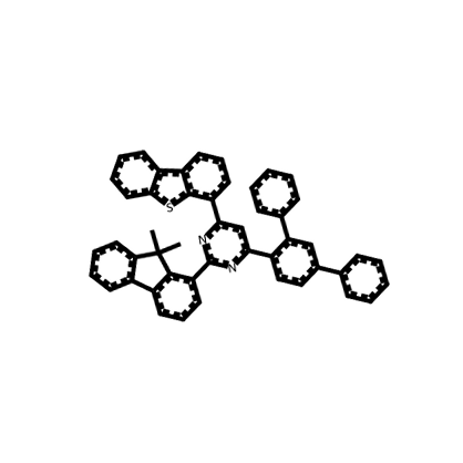 CC1(C)c2ccccc2-c2cccc(-c3nc(-c4ccc(-c5ccccc5)cc4-c4ccccc4)cc(-c4cccc5c4sc4ccccc45)n3)c21